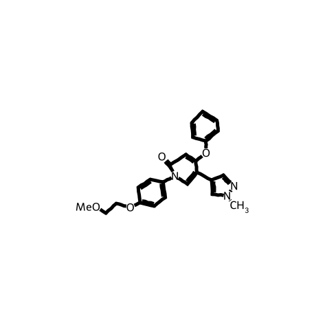 COCCOc1ccc(-n2cc(-c3cnn(C)c3)c(Oc3ccccc3)cc2=O)cc1